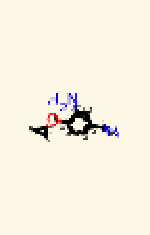 N#Cc1ccc(OC2CC2)c(N)c1